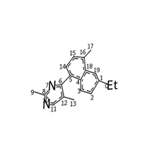 CCc1ccc2c(-c3nc(C)ncc3C)ccc(C)c2c1